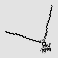 CCCCCCCCCCCCCCCCCCCCCCn1c[n+](CCCCCCCCCCCCCCCCCCCCCC)c2ccccc21.O=S(=O)(NS(=O)(=O)C(F)(F)F)C(F)(F)F